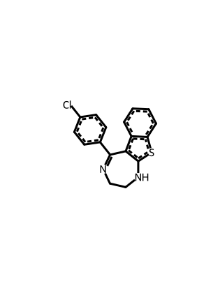 Clc1ccc(C2=NCCNc3sc4ccccc4c32)cc1